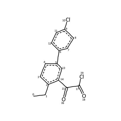 CCc1ccc(-c2ccc(Cl)cc2)cc1C(=O)C(=O)Cl